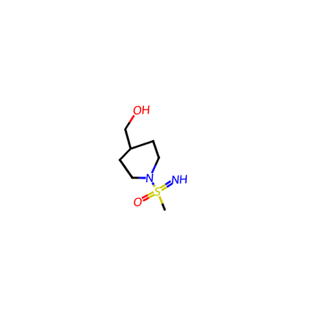 CS(=N)(=O)N1CCC(CO)CC1